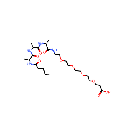 CCCCC(=O)N[C@@H](C)C(=O)N[C@@H](C)C(=O)N[C@@H](C)C(=O)NCCOCCOCCOCCOCCC(=O)O